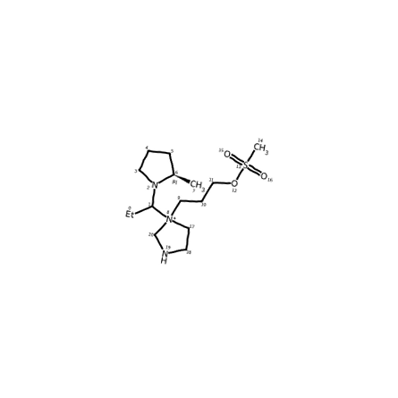 CCC(N1CCC[C@H]1C)[N+]1(CCCOS(C)(=O)=O)CCNC1